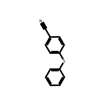 N#Cc1ccc(Sc2ccccc2)cc1